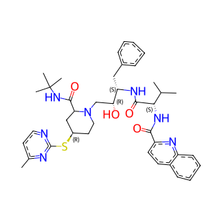 Cc1ccnc(S[C@@H]2CCN(C[C@@H](O)[C@H](Cc3ccccc3)NC(=O)[C@@H](NC(=O)c3ccc4ccccc4n3)C(C)C)C(C(=O)NC(C)(C)C)C2)n1